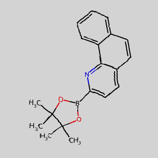 CC1(C)OB(c2ccc3ccc4ccccc4c3n2)OC1(C)C